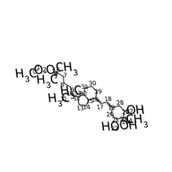 COCOC(C)(C)CCC[C@@H](C)C1CCC2/C(=C/C=C3C[C@@H](O)C(C)(O)[C@H](O)C3)CCCC21C